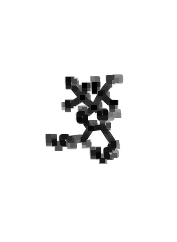 C=CC1OC(C(F)(F)F)(C(F)(F)F)OC1C=C